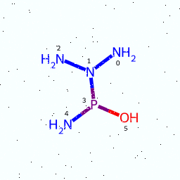 NN(N)P(N)O